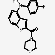 CN(c1ccc(F)cc1)c1cccc2sc(C(=O)N3CCOCC3)cc12